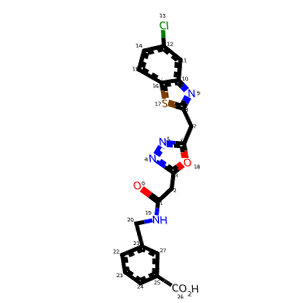 O=C(Cc1nnc(Cc2nc3cc(Cl)ccc3s2)o1)NCc1cccc(C(=O)O)c1